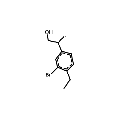 [CH2]C(CO)c1ccc(CC)c(Br)c1